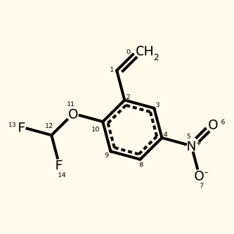 C=Cc1cc([N+](=O)[O-])ccc1OC(F)F